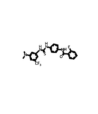 CN(C)c1cc(NC(=S)Nc2ccc(NC(=O)c3ccccc3F)cc2)cc(C(F)(F)F)c1